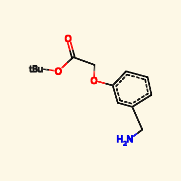 CC(C)(C)OC(=O)COc1cccc(CN)c1